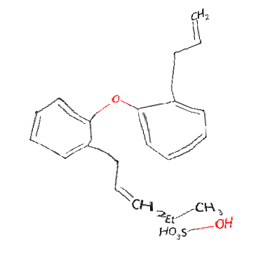 C=CCc1ccccc1Oc1ccccc1CC=C.CCC.O=S(=O)(O)O